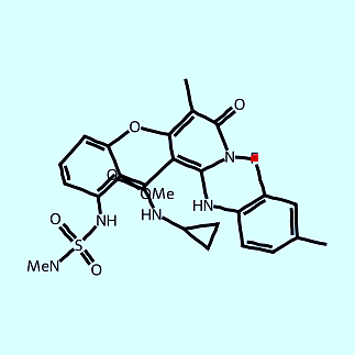 CNS(=O)(=O)Nc1cccc(Oc2c(C(=O)NC3CC3)c(Nc3ccc(C)cc3F)n(C)c(=O)c2C)c1OC